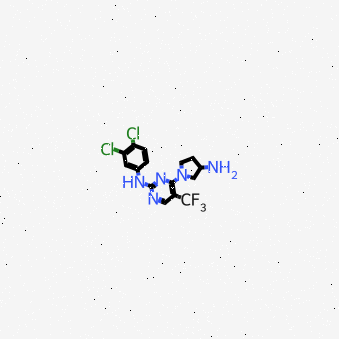 NC1CCN(c2nc(Nc3ccc(Cl)c(Cl)c3)ncc2C(F)(F)F)C1